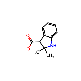 CC1(C)Nc2ccccc2C1C(=O)O